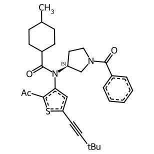 CC(=O)c1sc(C#CC(C)(C)C)cc1N(C(=O)C1CCC(C)CC1)[C@H]1CCN(C(=O)c2ccccc2)C1